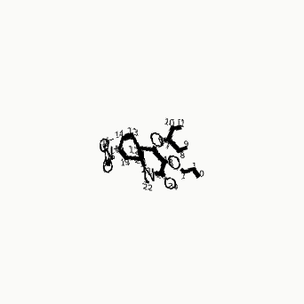 C=CCOc1c(OC(=CC)CC)c2ccc([N+](=O)[O-])cc2n(C)c1=O